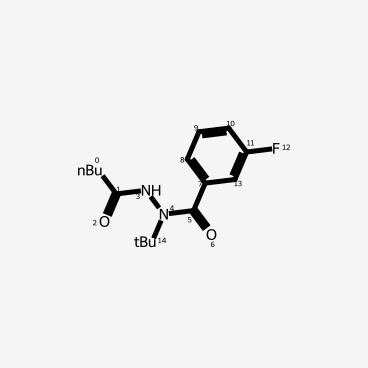 CCCCC(=O)NN(C(=O)c1cccc(F)c1)C(C)(C)C